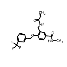 C=CC(=O)NCc1cc(C(=O)NC)ccc1OCc1cccc(C(F)(F)F)c1